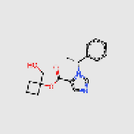 C[C@H](c1ccccc1)n1cncc1C(=O)OC1(CO)CCC1